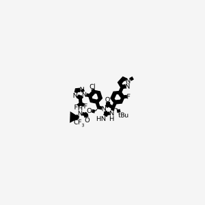 Cn1ccc(-c2ccc([C@@]3(CC(C)(C)C)NC(=N)N([C@H](COC(=O)NC4(C(F)(F)F)CC4)c4ccc(Cl)c(-n5ncnc5C(F)F)c4)C3=O)cc2F)n1